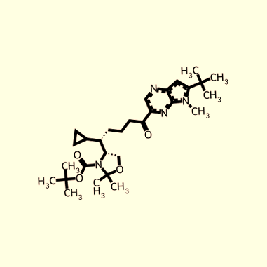 Cn1c(C(C)(C)C)cc2ncc(C(=O)CCC[C@@H](C3CC3)[C@@H]3COC(C)(C)N3C(=O)OC(C)(C)C)nc21